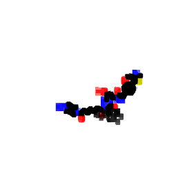 CC(C)(C)[C@H](NC(=O)CCCCCC(=O)N1CC2CNCC2C1)C(=O)N1C[C@H](O)C[C@H]1NC(=O)Cc1ccc2c(c1)OCc1ncsc1-2